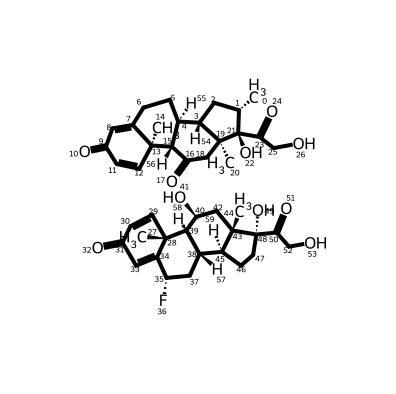 C[C@H]1C[C@H]2[C@@H]3CCC4=CC(=O)C=C[C@]4(C)[C@H]3C(=O)C[C@]2(C)[C@@]1(O)C(=O)CO.C[C@]12C=CC(=O)C=C1[C@@H](F)C[C@@H]1[C@@H]2[C@@H](O)C[C@@]2(C)[C@H]1CC[C@]2(O)C(=O)CO